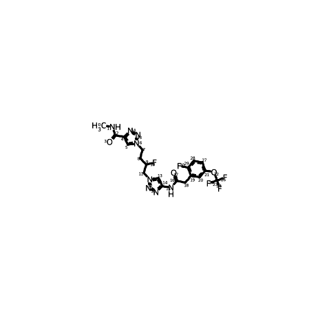 CNC(=O)c1cn(CCC(F)Cn2cc(NC(=O)Cc3cc(OC(F)(F)F)ccc3F)nn2)nn1